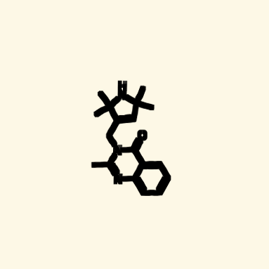 Cc1nc2ccccc2c(=O)n1CC1=CC(C)(C)NC1(C)C